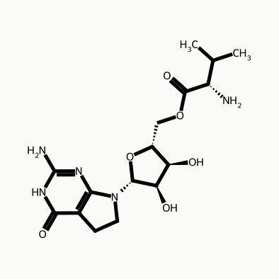 CC(C)[C@H](N)C(=O)OC[C@H]1O[C@@H](N2CCc3c2nc(N)[nH]c3=O)[C@H](O)[C@@H]1O